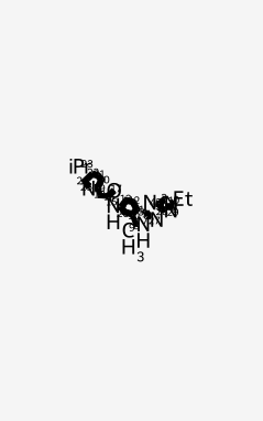 CCn1cc2ncc(N[C@@H](C)c3cccc(NC(=O)Cc4ccc(C(C)C)cn4)c3)nc2n1